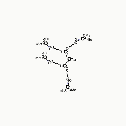 CCCCOc1ccc(/C=C/C(=O)OCCCCCCOc2cc(COc3cc(CO)cc(OCc4cc(OCCCCCCOC(=O)/C=C/c5ccc(OCCCC)c(OC)c5)cc(OCCCCCCOC(=O)/C=C/c5ccc(OCCCC)c(OC)c5)c4)c3)cc(OCCCCCCOC(=O)/C=C/c3ccc(OCCCC)c(OC)c3)c2)cc1OC